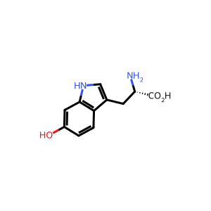 N[C@@H](Cc1c[nH]c2cc(O)ccc12)C(=O)O